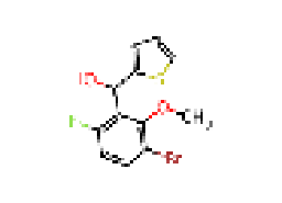 COc1c(Br)ccc(F)c1C(O)c1cccs1